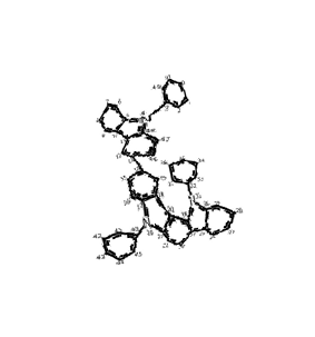 c1ccc(-n2c3ccccc3c3cc(-c4ccc5c(c4)c4c(ccc6c7ccccc7n(-c7ccccc7)c64)n5-c4ccccc4)ccc32)cc1